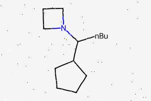 [CH2]CCCC(C1CCCC1)N1CCC1